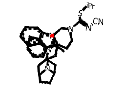 Cc1nc2ccccc2n1C1CC2CCC(C1)N2CCC1(c2ccccc2)CCN(C(=NC#N)SC(C)C)CC1